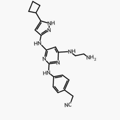 N#CCc1ccc(Nc2nc(NCCN)cc(Nc3cc(C4CCC4)[nH]n3)n2)cc1